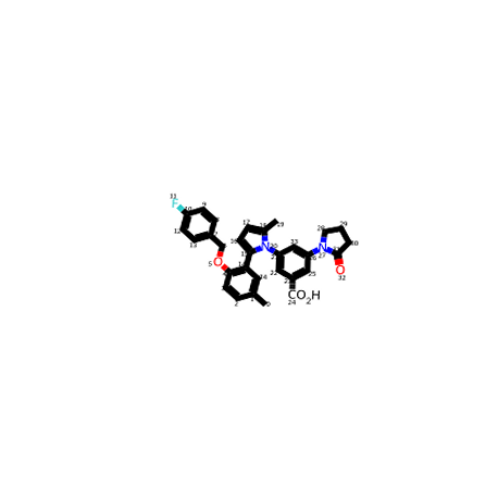 Cc1ccc(OCc2ccc(F)cc2)c(-c2ccc(C)n2-c2cc(C(=O)O)cc(N3CCCC3=O)c2)c1